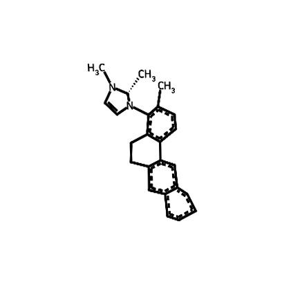 Cc1ccc2c(c1N1C=CN(C)[C@@H]1C)CCc1cc3ccccc3cc1-2